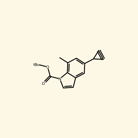 Cc1cc(C2C#C2)cc2ccn(C(=O)OC(C)(C)C)c12